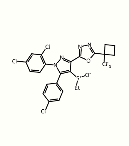 CC[S+]([O-])c1c(-c2nnc(C3(C(F)(F)F)CCC3)o2)nn(-c2ccc(Cl)cc2Cl)c1-c1ccc(Cl)cc1